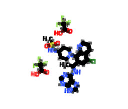 CC(Nc1ncnc2[nH]cnc12)c1cc(Cl)c2cccnc2c1N1CCC(NS(C)(=O)=O)CC1.O=C(O)C(F)(F)F.O=C(O)C(F)(F)F